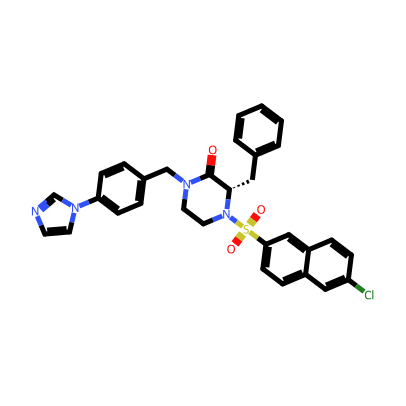 O=C1[C@H](Cc2ccccc2)N(S(=O)(=O)c2ccc3cc(Cl)ccc3c2)CCN1Cc1ccc(-n2ccnc2)cc1